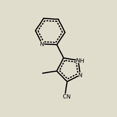 Cc1c(C#N)n[nH]c1-c1ccccn1